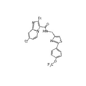 CCc1nc2cc(Cl)ccn2c1C(=O)NCc1csc(-c2ccc(OC(F)(F)F)cc2)n1